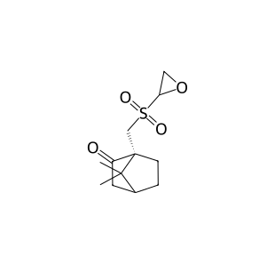 CC1(C)C2CC[C@]1(CS(=O)(=O)C1CO1)C(=O)C2